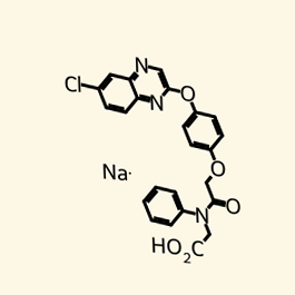 O=C(O)CN(C(=O)COc1ccc(Oc2cnc3cc(Cl)ccc3n2)cc1)c1ccccc1.[Na]